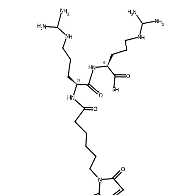 NC(N)NCCC[C@H](NC(=O)[C@H](CCCNC(N)N)NC(=O)CCCCCN1C(=O)C=CC1=O)C(=O)S